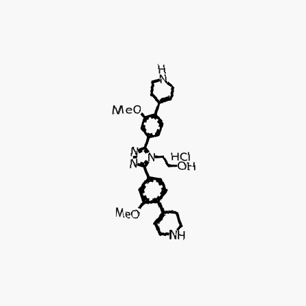 COc1cc(-c2nnc(-c3ccc(C4=CCNCC4)c(OC)c3)n2CCO)ccc1C1=CCNCC1.Cl